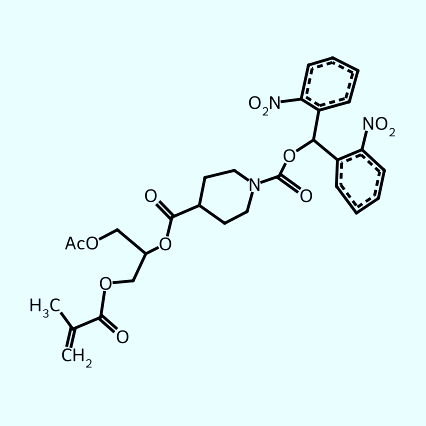 C=C(C)C(=O)OCC(COC(C)=O)OC(=O)C1CCN(C(=O)OC(c2ccccc2[N+](=O)[O-])c2ccccc2[N+](=O)[O-])CC1